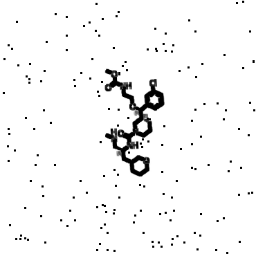 CNC[C@H](CC1CCCOC1)NC(=O)N1CCC[C@@H]([C@@H](OCCNC(=O)OC)c2cccc(Cl)c2)C1